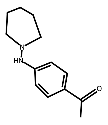 CC(=O)c1ccc(NN2CCCCC2)cc1